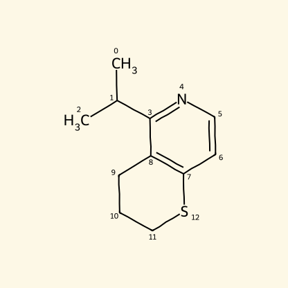 CC(C)c1nccc2c1CCCS2